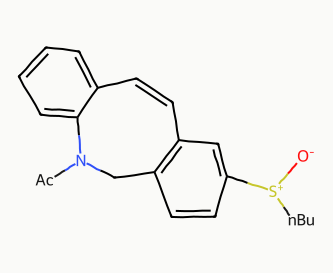 CCCC[S+]([O-])c1ccc2c(c1)/C=C\c1ccccc1N(C(C)=O)C2